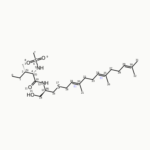 CC[C@H](C)[C@H](NS(C)(=O)=O)C(=O)N[C@H](CO)CSC/C=C(\C)CC/C=C(\C)CCC=C(C)C